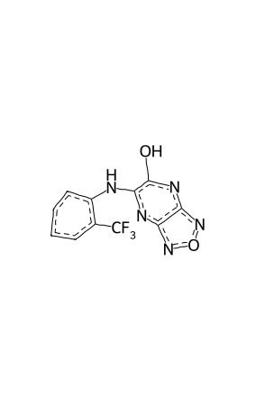 Oc1nc2nonc2nc1Nc1ccccc1C(F)(F)F